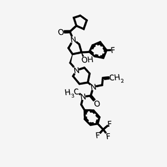 C=CCN(C(=O)N(C)Cc1ccc(C(F)(F)F)cc1)C1CCN(C[C@H]2CN(C(=O)C3CCCC3)C[C@]2(O)c2ccc(F)cc2)CC1